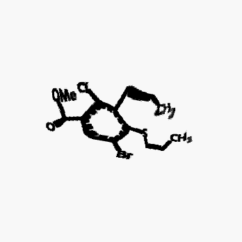 C/C=C\Sc1c(Br)cc(C(=O)OC)c(Cl)c1/C=C\C